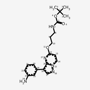 CC(C)(C)OC(=O)NCCCOc1ccn2ncc(-c3cccc(N)c3)c2n1